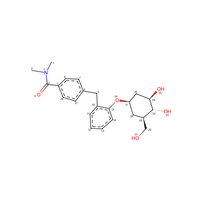 CN(C)C(=O)c1ccc(Cc2ccccc2O[C@@H]2C[C@H](CO)[C@@H](O)[C@H](O)C2)cc1